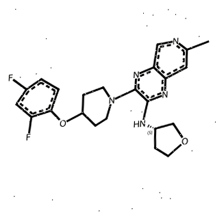 Cc1cc2nc(N[C@H]3CCOC3)c(N3CCC(Oc4ccc(F)cc4F)CC3)nc2cn1